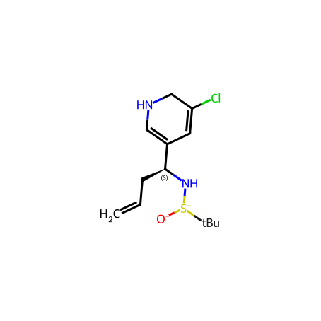 C=CC[C@H](N[S+]([O-])C(C)(C)C)C1=CNCC(Cl)=C1